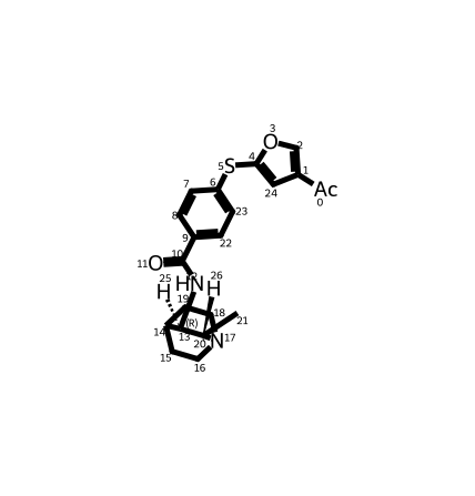 CC(=O)c1coc(Sc2ccc(C(=O)N[C@@H]3C4CCN(CC4)[C@H]3C)cc2)c1